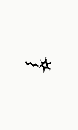 CCCC=CSc1c(F)c(F)c(F)c(F)c1F